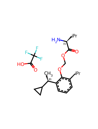 CC(C)c1cccc([C@H](C)C2CC2)c1OCOC(=O)[C@@H](N)C(C)C.O=C(O)C(F)(F)F